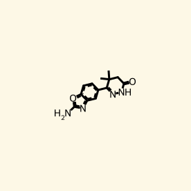 CC1(C)CC(=O)NN=C1c1ccc2oc(N)nc2c1